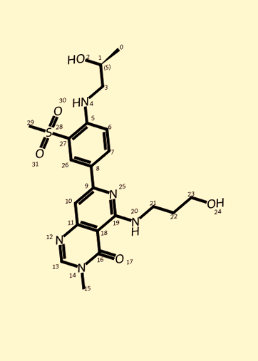 C[C@H](O)CNc1ccc(-c2cc3ncn(C)c(=O)c3c(NCCCO)n2)cc1S(C)(=O)=O